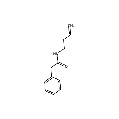 C=CCCNC(=O)Cc1[c]cccc1